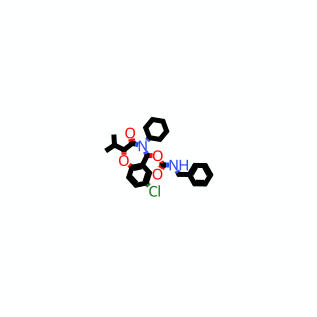 CC(C)C1Oc2ccc(Cl)cc2C(OC(=O)NCc2ccccc2)N(C2CCCCC2)C1=O